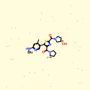 Cc1cc(NC(C)(C)C)ncc1-c1sc(C(=O)N2CC[C@H](O)C2)nc1C(=O)N1CCC[C@@H]1C